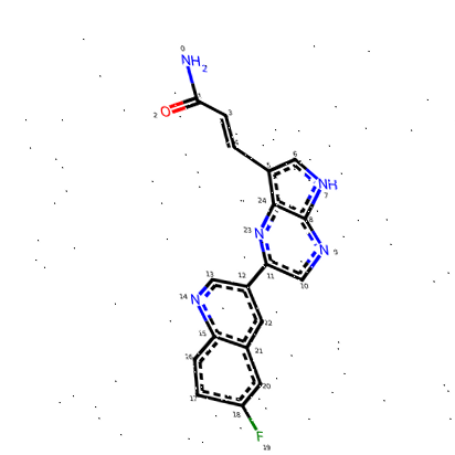 NC(=O)/C=C/c1c[nH]c2ncc(-c3cnc4ccc(F)cc4c3)nc12